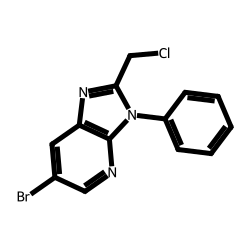 ClCc1nc2cc(Br)cnc2n1-c1ccccc1